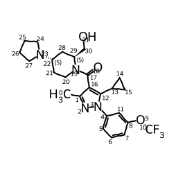 Cc1nn(-c2cccc(OC(F)(F)F)c2)c(C2CC2)c1C(=O)N1CC[C@H](N2CCCC2)C[C@H]1CO